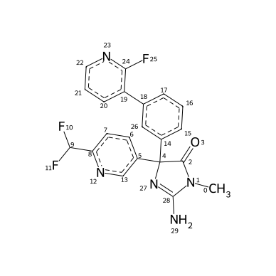 CN1C(=O)C(c2ccc(C(F)F)nc2)(c2cccc(-c3cccnc3F)c2)N=C1N